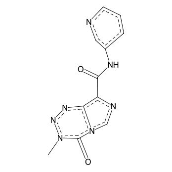 Cn1nnc2c(C(=O)Nc3cccnc3)ncn2c1=O